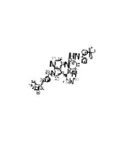 CC(C)(C)OC(=O)N[C@@H]1CCCN(c2ccnc3c2c(-c2cncnc2)cn3COCC[Si](C)(C)C)C1